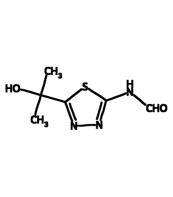 CC(C)(O)c1nnc(NC=O)s1